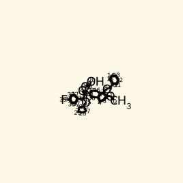 COc1ccc2c(c1OCc1ccccc1)C[C@@H](C(=O)O)N(C(=O)[C@@H](OC1CCCC1)c1ccc(F)cc1)C2